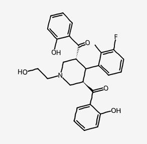 Cc1c(F)cccc1C1[C@@H](C(=O)c2ccccc2O)CN(CCO)C[C@@H]1C(=O)c1ccccc1O